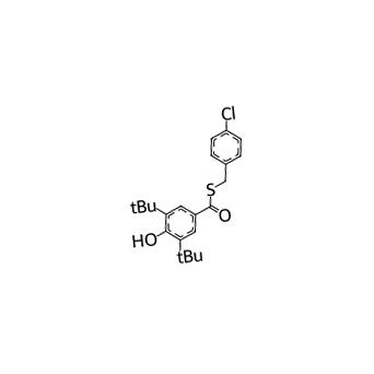 CC(C)(C)c1cc(C(=O)SCc2ccc(Cl)cc2)cc(C(C)(C)C)c1O